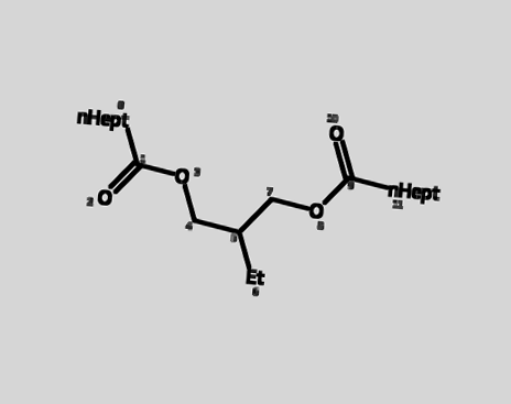 CCCCCCCC(=O)OCC(CC)COC(=O)CCCCCCC